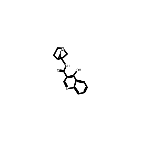 O=C(NC1CN2CCC1CC2)c1cnc2ccccc2c1O